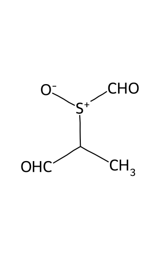 CC(C=O)[S+]([O-])C=O